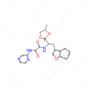 CC1COB(C(Cc2coc3ccccc23)NC(=O)C(=O)Nc2cnccn2)O1